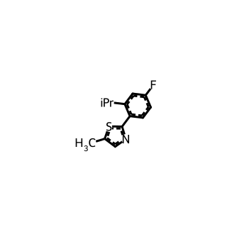 Cc1cnc(-c2ccc(F)cc2C(C)C)s1